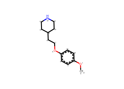 FC(F)(F)Oc1ccc(OCCC2CCNCC2)cc1